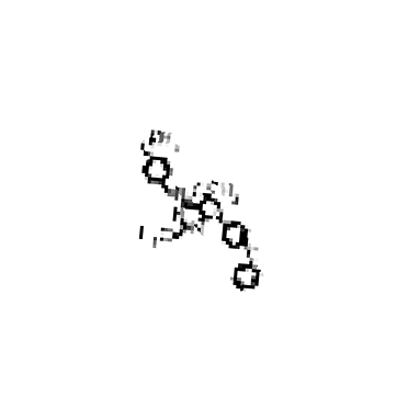 C=Cc1nc(NCc2ccc(OC)cc2)c2c(n1)N(c1ccc(Oc3ccccc3)cc1)CC2(C)C